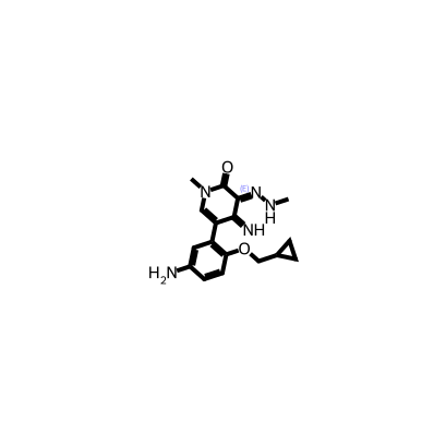 CN/N=C1\C(=N)C(c2cc(N)ccc2OCC2CC2)=CN(C)C1=O